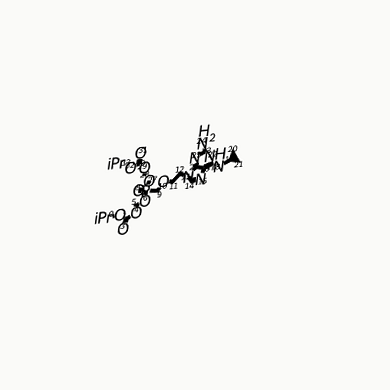 CC(C)OC(=O)OCOP(=O)(COCCn1cnc2c(NC3CC3)nc(N)nc21)OCOC(=O)OC(C)C